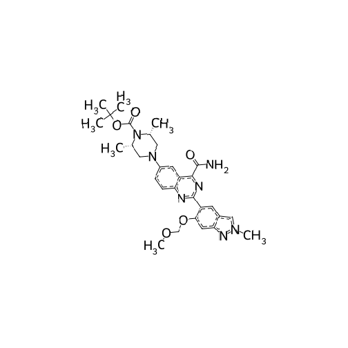 COCOc1cc2nn(C)cc2cc1-c1nc(C(N)=O)c2cc(N3C[C@@H](C)N(C(=O)OC(C)(C)C)[C@@H](C)C3)ccc2n1